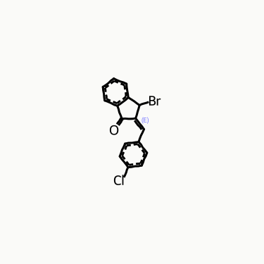 O=C1/C(=C\c2ccc(Cl)cc2)C(Br)c2ccccc21